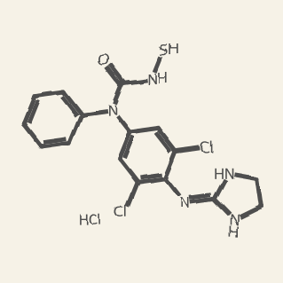 Cl.O=C(NS)N(c1ccccc1)c1cc(Cl)c(N=C2NCCN2)c(Cl)c1